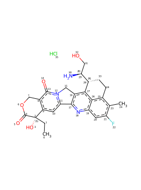 CC[C@@]1(O)C(=O)OCc2c1cc1n(c2=O)Cc2c-1nc1cc(F)c(C)c3c1c2[C@H]([C@@H](N)CO)CC3.Cl